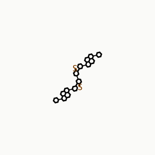 c1ccc(-c2ccc3ccc4c(-c5ccc6sc7ccc(-c8ccc9sc%10ccc(-c%11ccc%12ccc%13c(-c%14ccccc%14)ccc%14ccc%11c%12c%14%13)cc%10c9c8)cc7c6c5)ccc5ccc2c3c54)cc1